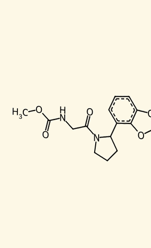 COC(=O)NCC(=O)N1CCCC1c1cccc2c1OCO2